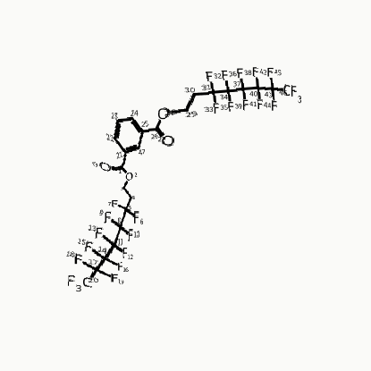 O=C(OCCC(F)(F)C(F)(F)C(F)(F)C(F)(F)C(F)(F)C(F)(F)F)c1cccc(C(=O)OCCC(F)(F)C(F)(F)C(F)(F)C(F)(F)C(F)(F)C(F)(F)F)c1